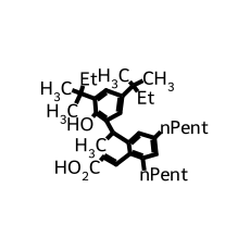 CCCCCc1cc(CCCCC)c(C=CC(=O)O)c(C(C)c2cc(C(C)(C)CC)cc(C(C)(C)CC)c2O)c1